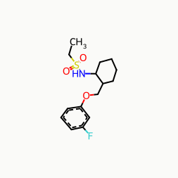 CCS(=O)(=O)NC1CCCCC1COc1cccc(F)c1